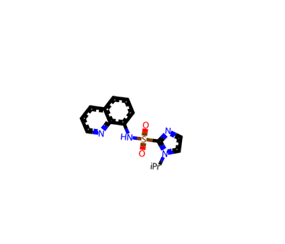 CC(C)n1ccnc1S(=O)(=O)Nc1cccc2cccnc12